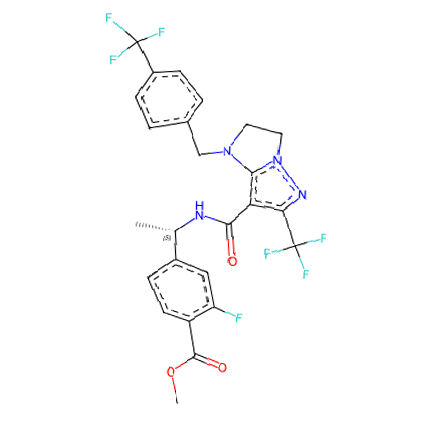 COC(=O)c1ccc([C@H](C)NC(=O)c2c(C(F)(F)F)nn3c2N(Cc2ccc(C(F)(F)F)cc2)CC3)cc1F